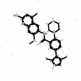 COc1cc2nc(O)cc(C)c2cc1NC(=O)c1cc(-c2c(C)coc2C)ccc1N1CCOCC1